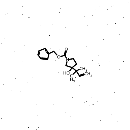 C=CC(C)(C)C1(O)CCN(C(=O)OCc2ccccc2)C1